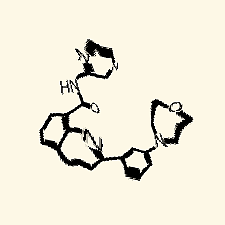 O=C(Nc1cnccn1)c1cccc2ccc(-c3cccc(N4CCOCC4)c3)nc12